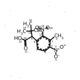 Cc1c([N+](=O)[O-])ccc(C(C(=O)O)C(C)(C)C)c1[N+](=O)[O-]